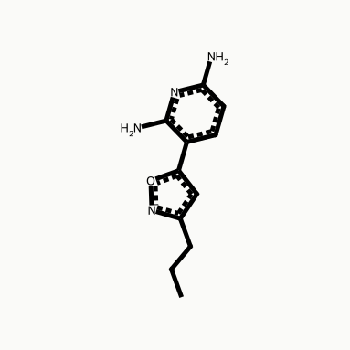 CCCc1cc(-c2ccc(N)nc2N)on1